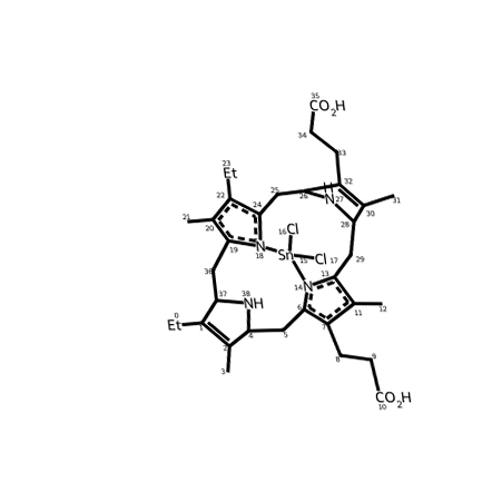 CCC1=C(C)C2Cc3c(CCC(=O)O)c(C)c4[n]3[Sn]([Cl])([Cl])[n]3c(c(C)c(CC)c3CC3NC(C4)C(C)=C3CCC(=O)O)CC1N2